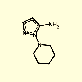 Nc1ccnn1N1CCCCC1